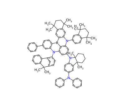 CC1(C)CCC(C)(C)c2cc(N3c4cc5c(cc4B4c6ccc(-c7ccccc7)cc6N(c6ccc7cc6-c6ccccc6C7(C)C)c6cc(N7c8ccc(N(c9ccccc9)c9ccccc9)cc8C8(C)CCCCC78C)cc3c64)C(C)(C)CCC5(C)C)ccc21